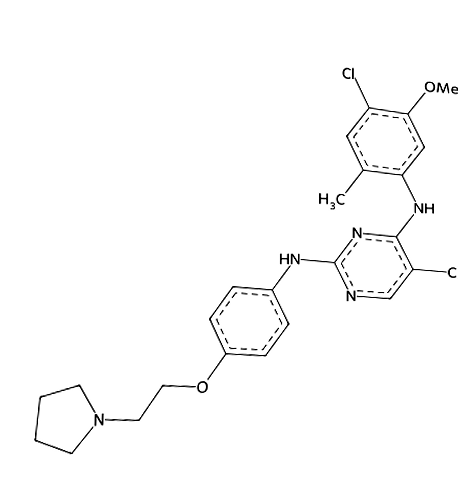 COc1cc(Nc2nc(Nc3ccc(OCCN4CCCC4)cc3)ncc2C#N)c(C)cc1Cl